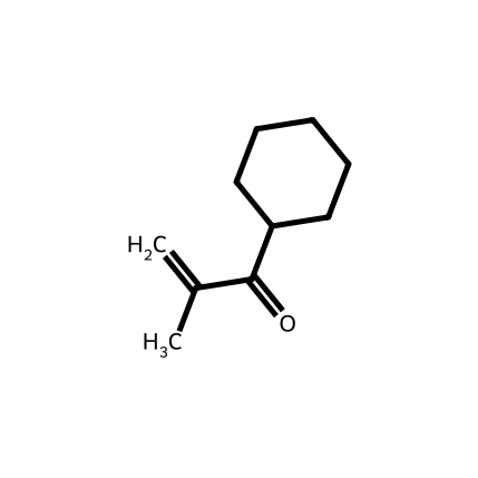 C=C(C)C(=O)C1CCCCC1